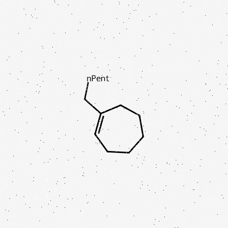 CCCCCCC1=CCCCCC1